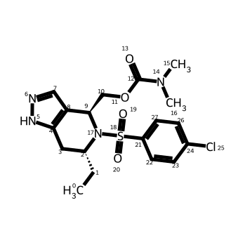 CC[C@@H]1Cc2[nH]ncc2[C@@H](COC(=O)N(C)C)N1S(=O)(=O)c1ccc(Cl)cc1